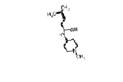 CC(C)=CCC(O)NC1CCN(C)CC1